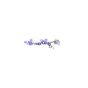 C[C@H](N)CCCc1cc(C(F)(F)F)cc(-c2cc3cn(-c4ccc(CNCCCNC(=N)N)cc4)c(=O)nc3[nH]2)n1